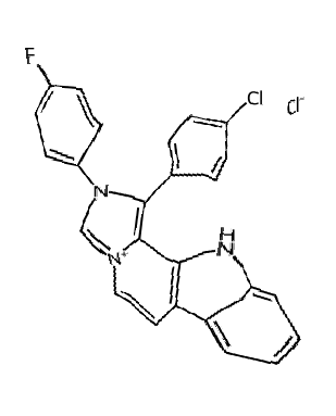 Fc1ccc(-n2c[n+]3ccc4c5ccccc5[nH]c4c3c2-c2ccc(Cl)cc2)cc1.[Cl-]